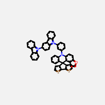 c1cc(N2c3ccccc3C3(c4ccsc4-c4sccc43)c3c2ccc2oc4ccccc4c32)cc(-n2c3ccccc3c3cc(-n4c5ccccc5c5ccccc54)ccc32)c1